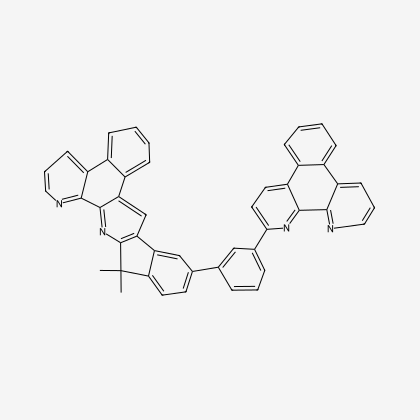 CC1(C)c2ccc(-c3cccc(-c4ccc5c6ccccc6c6cccnc6c5n4)c3)cc2-c2cc3c4ccccc4c4cccnc4c3nc21